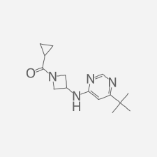 CC(C)(C)c1cc(NC2CN(C(=O)C3CC3)C2)ncn1